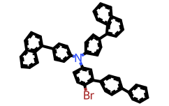 Brc1ccc(N(c2ccc(-c3cccc4ccccc34)cc2)c2ccc(-c3cccc4ccccc34)cc2)cc1-c1ccc(-c2ccccc2)cc1